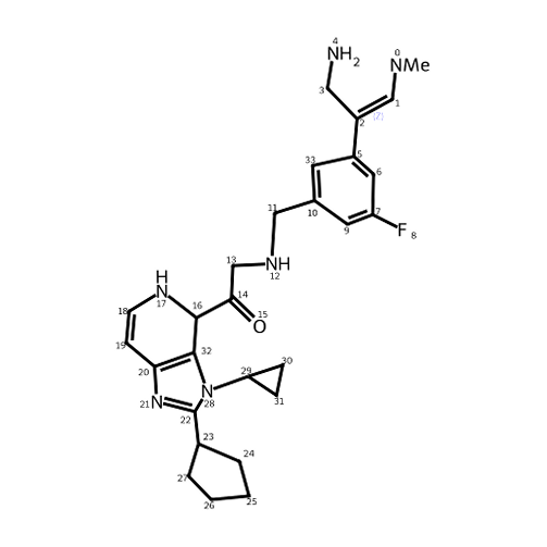 CN/C=C(\CN)c1cc(F)cc(CNCC(=O)C2NC=Cc3nc(C4CCCC4)n(C4CC4)c32)c1